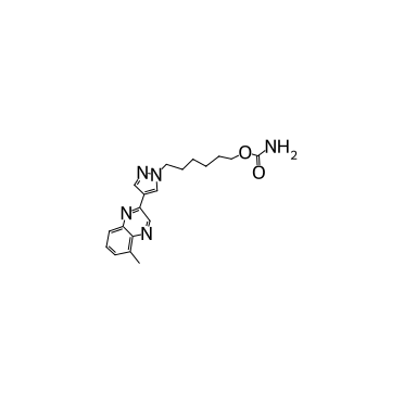 Cc1cccc2nc(-c3cnn(CCCCCCOC(N)=O)c3)cnc12